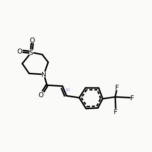 O=C(/C=C/c1ccc(C(F)(F)F)cc1)N1CCS(=O)(=O)CC1